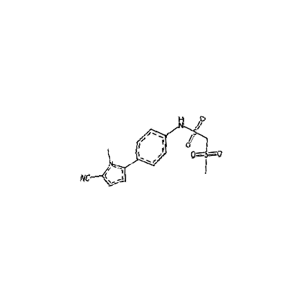 Cn1c(C#N)ccc1-c1ccc(NS(=O)(=O)CS(C)(=O)=O)cc1